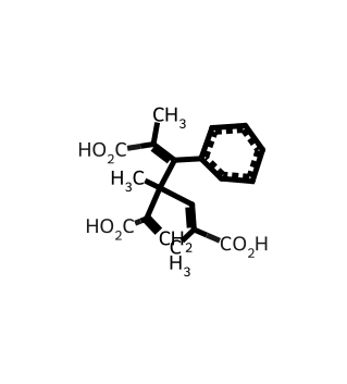 C=C(C(=O)O)C(C)(C=C(C)C(=O)O)C(=C(C)C(=O)O)c1ccccc1